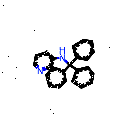 c1ccc(C(Nc2cccnc2)(c2ccccc2)c2ccccc2)cc1